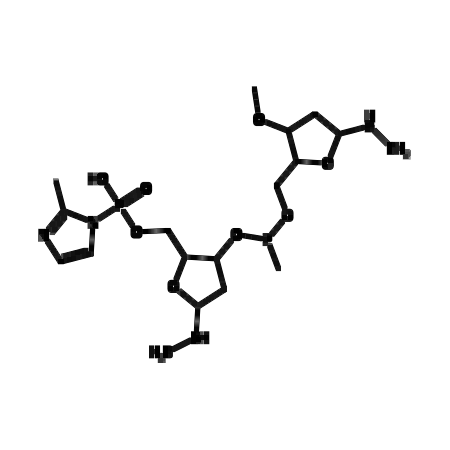 BBC1CC(OC)C(COP(C)OC2CC(BB)OC2COP(=O)(O)n2ccnc2C)O1